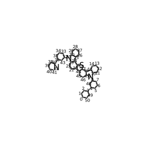 c1ccc(-c2cccc(-n3c4ccccc4c4c5sc6c(ccc7c6c6ccccc6n7-c6cccc(-c7ccccn7)c6)c5ccc43)c2)cc1